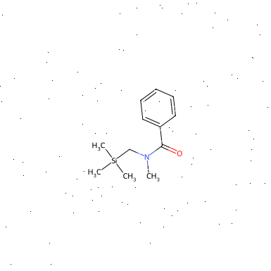 CN(C[Si](C)(C)C)C(=O)c1ccccc1